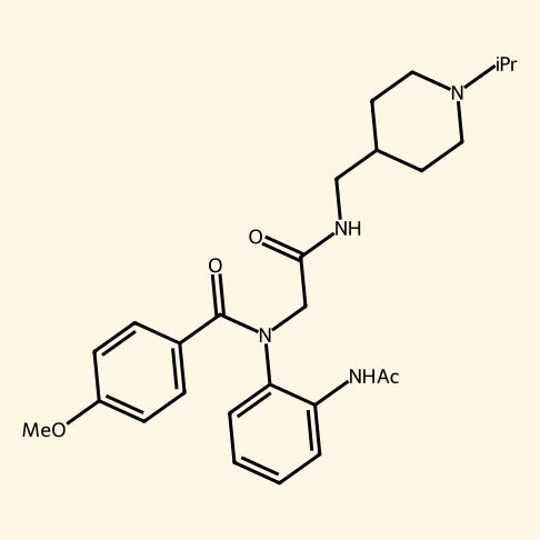 COc1ccc(C(=O)N(CC(=O)NCC2CCN(C(C)C)CC2)c2ccccc2NC(C)=O)cc1